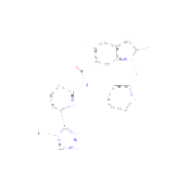 Cc1cc2cc(F)c(C(=O)Nc3cccc(-c4nncn4C(C)C)n3)cc2n1Cc1ccccn1